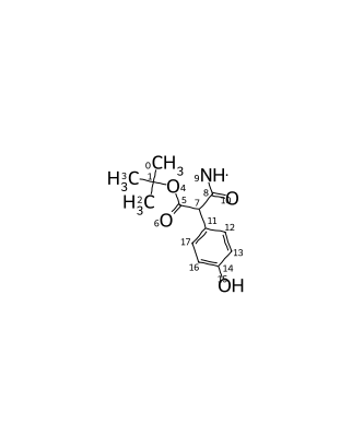 CC(C)(C)OC(=O)C(C([NH])=O)c1ccc(O)cc1